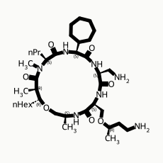 CCCCCC[C@H]1OC[C@H](C)NC(=O)[C@H](CO[C@H](C)CCN)NC(=O)[C@H](CN)NC(=O)[C@H](C2CCCCCC2)NC(=O)[C@H](CCC)N(C)C(=O)[C@@H]1C